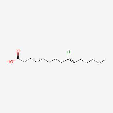 CCCCCC=C(Cl)CCCCCCCC(=O)O